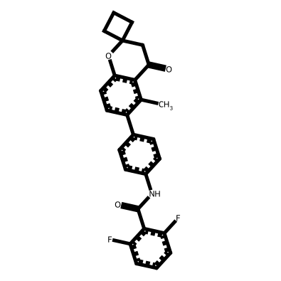 Cc1c(-c2ccc(NC(=O)c3c(F)cccc3F)cc2)ccc2c1C(=O)CC1(CCC1)O2